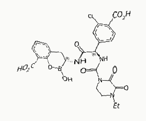 CCN1CCN(C(=O)N[C@@H](C(=O)N[C@H]2Cc3cccc(C(=O)O)c3OB2O)c2ccc(C(=O)O)c(Cl)c2)C(=O)C1=O